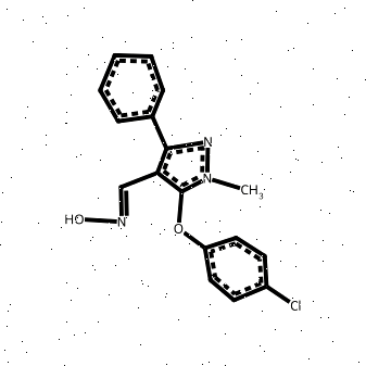 Cn1nc(-c2ccccc2)c(C=NO)c1Oc1ccc(Cl)cc1